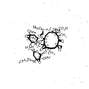 COOC(=O)[C@@H]1C[C@@](C)(O)[C@](O)(OC(=O)O)[C@@H](C)C(=O)[C@@]2(CO2)C[C@H](C)[C@@]2(O[C@@H]3O[C@H](C)C[C@@]4(N(C)O)O[C@]34OC(C)=O)O[C@]2(C)[C@]1(O)O[C@H]1C[C@@]2(OC)O[C@]2(OC(C)=O)[C@H](C)O1